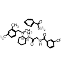 Cc1ccc(CN(C)[C@H]2CCCC[C@@H]2NC(=O)CNC(=O)c2cccc(C(F)(F)F)c2)c(C)c1.NC(=O)c1ccccc1